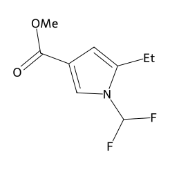 CCc1cc(C(=O)OC)cn1C(F)F